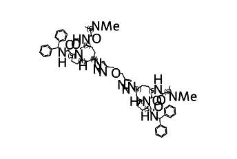 CN[C@@H](C)C(=O)N[C@H]1CC[C@@H](n2cc(COCc3cn([C@@H]4CC[C@H](NC(=O)[C@H](C)NC)C(=O)N5[C@H](CC[C@H]5C(=O)NC(c5ccccc5)c5ccccc5)C4)nn3)nn2)C[C@H]2CC[C@@H](C(=O)NC(c3ccccc3)c3ccccc3)N2C1=O